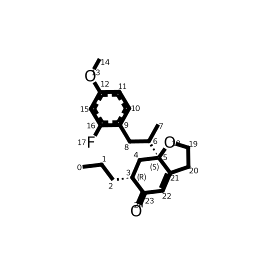 CCC[C@@H]1C[C@@]2(C(C)Cc3ccc(OC)cc3F)OCCC2=CC1=O